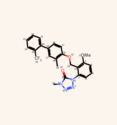 COc1cccc(-n2nnn(C)c2=O)c1COc1ccc(-c2ccccc2C(F)(F)F)cc1C